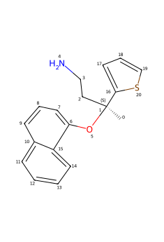 C[C@@](CCN)(Oc1cccc2ccccc12)c1cccs1